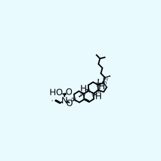 [CH]=CN(O[C@H]1CC[C@@]2(C)C(=CC[C@H]3[C@@H]4CC[C@H]([C@H](C)CCCC(C)C)[C@@]4(C)CC[C@@H]32)C1)C(=O)O